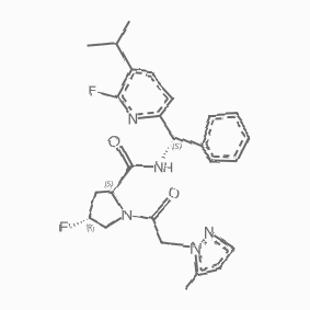 Cc1ccnn1CC(=O)N1C[C@H](F)C[C@H]1C(=O)N[C@@H](c1ccccc1)c1ccc(C(C)C)c(F)n1